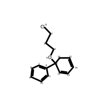 ClCCCOC1(c2ccccc2)C=CC=CC1